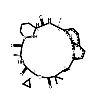 C[C@@H]1NC(=O)[C@@H](C2CC2)OC(=O)C(C)(C)/C=C/c2ccc3ccc(nc3c2)[C@@H](C)NC(=O)[C@@H]2CCCN(N2)C1=O